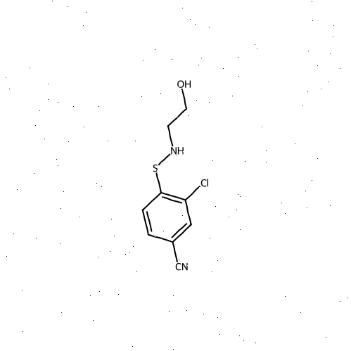 N#Cc1ccc(SNCCO)c(Cl)c1